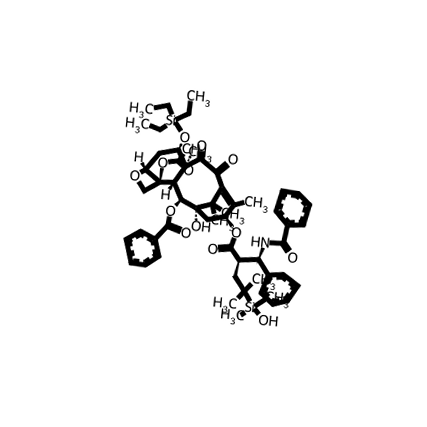 CC[Si](CC)(CC)O[C@H]1C[C@H]2OC[C@@]2(OC(C)=O)[C@H]2[C@H](OC(=O)c3ccccc3)[C@]3(O)C[C@H](OC(=O)[C@H](CC(C)(C)[Si](C)(C)O)[C@@H](NC(=O)c4ccccc4)c4ccccc4)C(C)=C(C(=O)C(=O)[C@]12C)C3(C)C